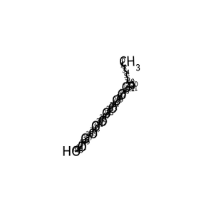 CCCCCCCCc1ccccc1OCCOCCOCCOCCOCCOCCOCCOCCOCCOCCO